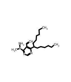 C=Cc1c(C(CCCCCC)CCCCCC)ncnc1N(C)N